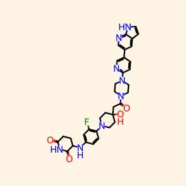 O=C1CCC(Nc2ccc(N3CCC(O)(CC(=O)N4CCN(c5ccc(-c6cnc7[nH]ccc7c6)cn5)CC4)CC3)c(F)c2)C(=O)N1